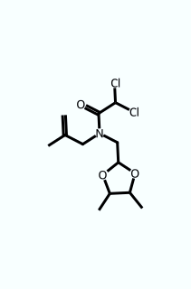 C=C(C)CN(CC1OC(C)C(C)O1)C(=O)C(Cl)Cl